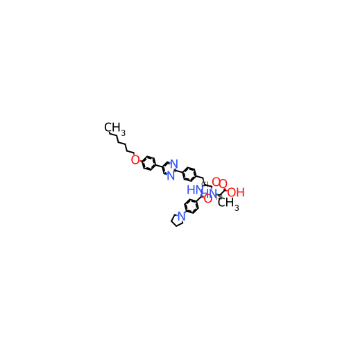 CCCCCCCOc1ccc(-c2cnc(-c3ccc(C[C@H](NC(=O)c4ccc(N5CCCC5)cc4)C(=O)N[C@@H](C)C(=O)O)cc3)nc2)cc1